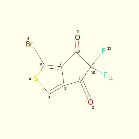 O=C1c2csc(Br)c2C(=O)C1(F)F